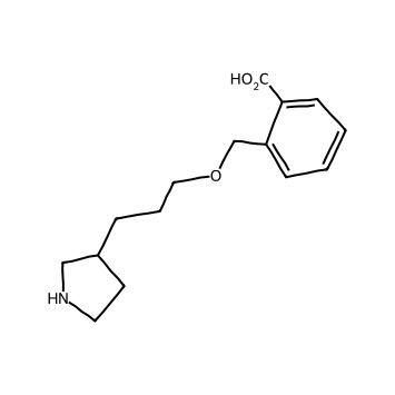 O=C(O)c1ccccc1COCCCC1CCNC1